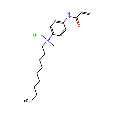 C=CC(=O)Nc1ccc([N+](C)(C)CCCCCCCCCCCCCCCCCC)cc1.[Cl-]